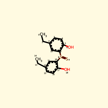 CCc1ccc(O)c(S(=S)c2cc(CC)ccc2O)c1